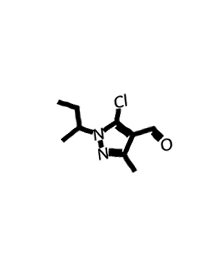 CCC(C)n1nc(C)c(C=O)c1Cl